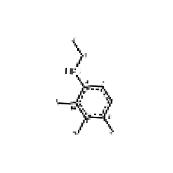 CCPc1ccc(C)c(C)c1C